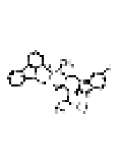 CC(C)CC(NC(=O)C(Cc1csc2ccc(Cl)cc12)N(C)C(=O)OCC1c2ccccc2-c2ccccc21)C(=O)O